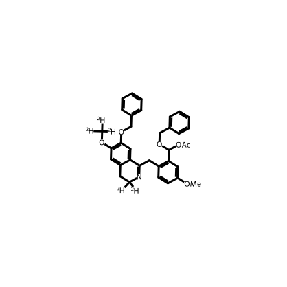 [2H]C1([2H])Cc2cc(OC([2H])([2H])[2H])c(OCc3ccccc3)cc2C(Cc2ccc(OC)cc2C(OCc2ccccc2)OC(C)=O)=N1